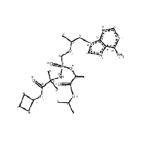 CC(C)OC(=O)C(C)OP(=O)(COC(C)Cn1cnc2c(N)ncnc21)NC(C)(C)C(=O)OC1CCC1